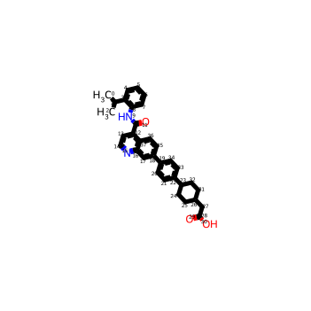 CC(C)c1ccccc1NC(=O)c1ccnc2cc(-c3ccc(C4CCC(CC(=O)O)CC4)cc3)ccc12